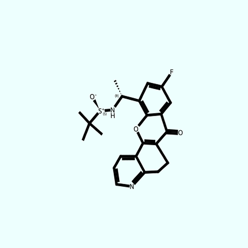 C[C@@H](N[S@+]([O-])C(C)(C)C)c1cc(F)cc2c(=O)c3c(oc12)-c1cccnc1CC3